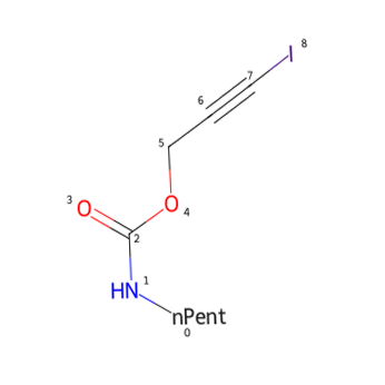 CCCCCNC(=O)OCC#CI